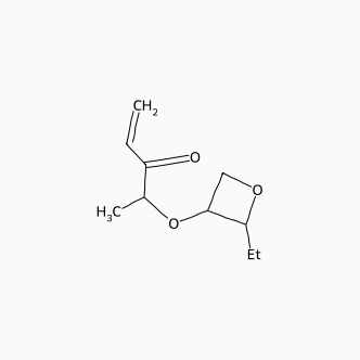 C=CC(=O)C(C)OC1COC1CC